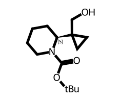 CC(C)(C)OC(=O)N1CCCC[C@H]1C1(CO)CC1